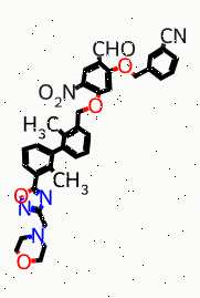 Cc1c(COc2cc(OCc3cccc(C#N)c3)c(C=O)cc2[N+](=O)[O-])cccc1-c1cccc(-c2nc(CN3CCOCC3)no2)c1C